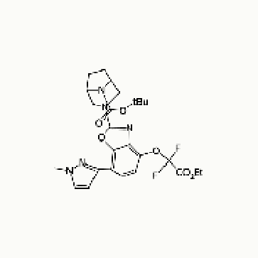 CCOC(=O)C(F)(F)Oc1ccc(-c2ccn(C)n2)c2oc(N3CC4CCC(C3)N4C(=O)OC(C)(C)C)nc12